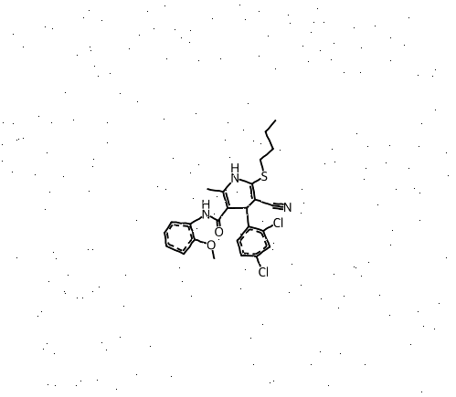 CCCCSC1=C(C#N)C(c2ccc(Cl)cc2Cl)C(C(=O)Nc2ccccc2OC)=C(C)N1